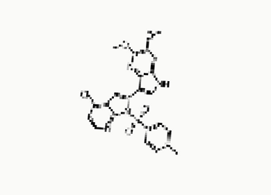 COc1cc2[nH]cc(-c3cc4c(Cl)ccnc4n3S(=O)(=O)c3ccc(C)cc3)c2nc1OC